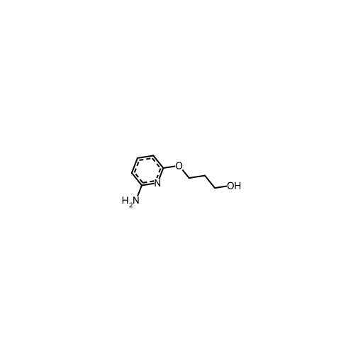 Nc1cccc(OCCCO)n1